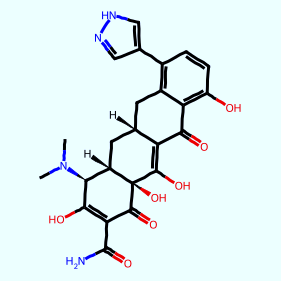 CN(C)[C@@H]1C(O)=C(C(N)=O)C(=O)[C@@]2(O)C(O)=C3C(=O)c4c(O)ccc(-c5cn[nH]c5)c4C[C@H]3C[C@@H]12